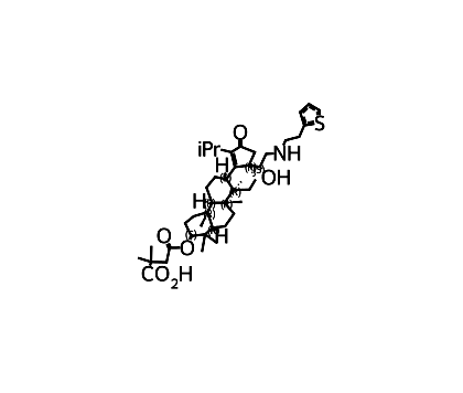 CC(C)C1=C2[C@H]3CC[C@@H]4[C@@]5(C)CC[C@H](OC(=O)CC(C)(C)C(=O)O)C(C)(C)[C@@H]5CC[C@@]4(C)[C@]3(C)CC[C@@]2([C@H](O)CNCCc2cccs2)CC1=O